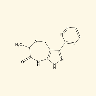 CC1SCc2c(-c3ccccn3)n[nH]c2NC1=O